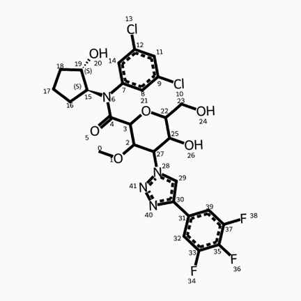 COC1C(C(=O)N(c2cc(Cl)cc(Cl)c2)[C@H]2CCC[C@@H]2O)OC(CO)C(O)C1n1cc(-c2cc(F)c(F)c(F)c2)nn1